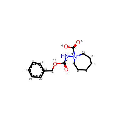 O=C(N[N+]1(C(=O)[O-])CCCCCC1)OCc1ccccc1